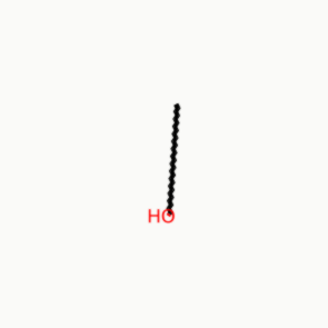 C=CCCCCCCCCCCCCCCCCCCCCCCCCCCCCO